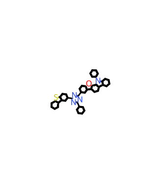 c1ccc(-c2nc(-c3ccc4oc5c(ccc6c7ccccc7n(-c7ccccc7)c65)c4c3)nc(-c3ccc4sc5ccccc5c4c3)n2)cc1